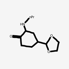 CCCNC1CC(C2OCCO2)CCC1=O